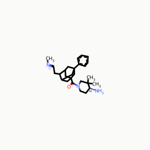 C/N=C/CC1C2CC3(C(=O)N4CC[C@H](N)C(C)(C)C4)CC1CC(c1ccccc1)(C2)C3